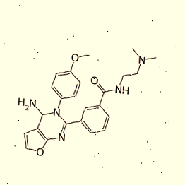 COc1ccc(N2C(c3cccc(C(=O)NCCN(C)C)c3)=Nc3occc3C2N)cc1